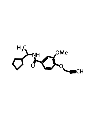 C#CCOc1ccc(C(=O)NC(C)C2CCCC2)cc1OC